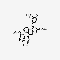 C#CCN(c1ccc(N(CC(=O)OC)Sc2ccc(O)c(C)c2)c2ccccc12)C(C)CC(=O)OC